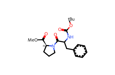 COC(=O)[C@@H]1CCCN1C(=O)C(Cc1ccccc1)NC(=O)OC(C)(C)C